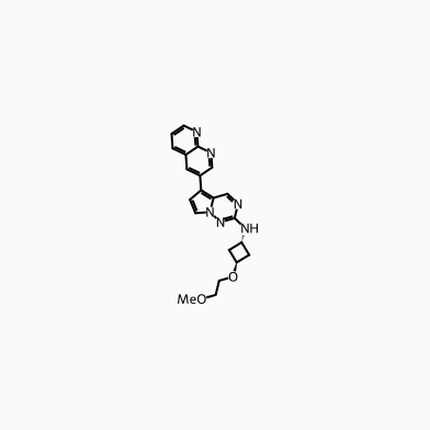 COCCO[C@H]1C[C@H](Nc2ncc3c(-c4cnc5ncccc5c4)ccn3n2)C1